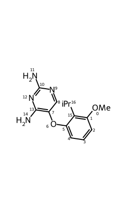 COc1cccc(Oc2cnc(N)nc2N)c1C(C)C